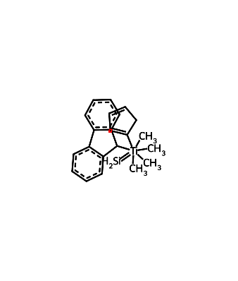 [CH3][Ti]([CH3])([CH3])([CH3])(=[SiH2])([C]1=CC=CC1)[CH]1c2ccccc2-c2ccccc21